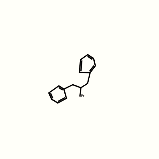 [CH2]CCC(Cc1ccccc1)Cc1ccccc1